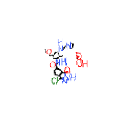 CCOCc1cc(NCCN2CCCC2)c(C)c(NC(=O)c2ccc3c(Cl)n[nH]c(=O)c3c2)c1.O=CO